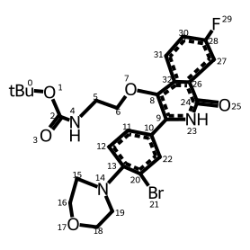 CC(C)(C)OC(=O)NCCOc1c(-c2ccc(N3CCOCC3)c(Br)c2)[nH]c(=O)c2cc(F)ccc12